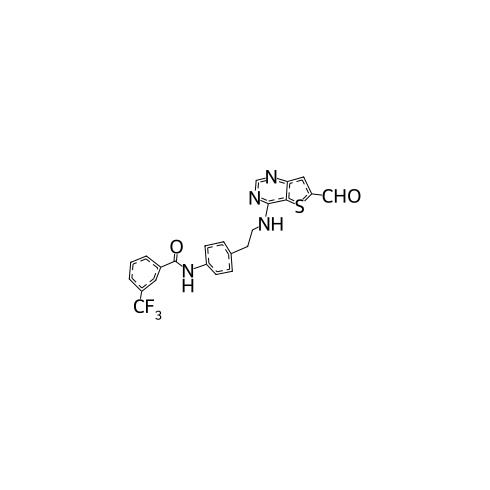 O=Cc1cc2ncnc(NCCc3ccc(NC(=O)c4cccc(C(F)(F)F)c4)cc3)c2s1